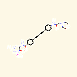 NC[C@H](NC(=O)c1ccc(C#CC#Cc2ccc(NC(=O)CN3CCOCC3)cc2)cc1)C(=O)NO